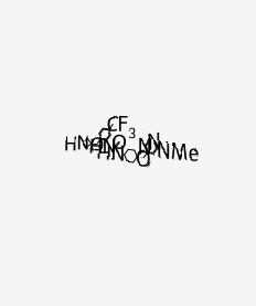 CNc1cc(O[C@H]2CC[C@H](NC(=O)Nc3cc(C(F)(F)F)ccc3OC3CNC3)CC2)ncn1